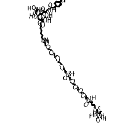 O=C(CCCC[C@H]1SC[C@H]2NC(=O)N[C@H]21)NCCOCCOCCOCCOCCC(=O)NCCOCCOCCOCCOCc1cn(CCCCCCO[C@]2(C(=O)O)C[C@H](O)[C@@H](NC(=O)CO)[C@H]([C@H](O)[C@H](O)CNC(=O)Cc3ccc(Cl)cc3)O2)nn1